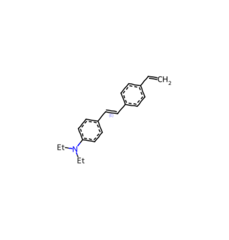 C=Cc1ccc(/C=C/c2ccc(N(CC)CC)cc2)cc1